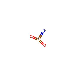 [N]=S(=O)=O